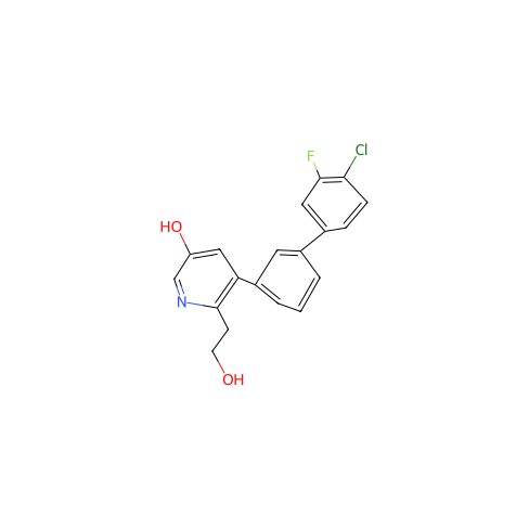 OCCc1ncc(O)cc1-c1cccc(-c2ccc(Cl)c(F)c2)c1